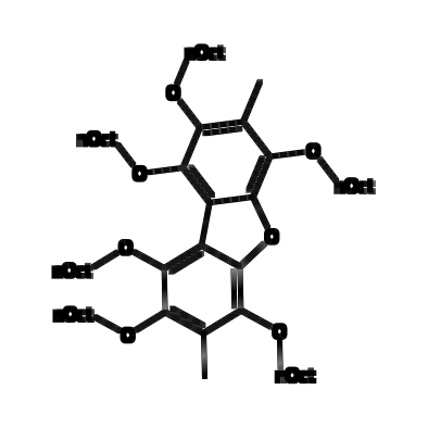 CCCCCCCCOc1c(C)c(OCCCCCCCC)c2oc3c(OCCCCCCCC)c(C)c(OCCCCCCCC)c(OCCCCCCCC)c3c2c1OCCCCCCCC